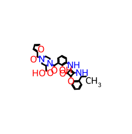 CCC(Nc1c(Nc2cccc(C(=O)N3CCN(C(=O)c4ccco4)CC3C(=O)O)c2O)c(=O)c1=O)c1ccccc1